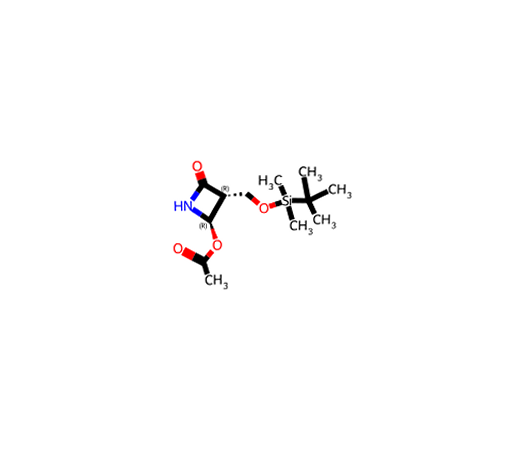 CC(=O)O[C@H]1NC(=O)[C@@H]1CO[Si](C)(C)C(C)(C)C